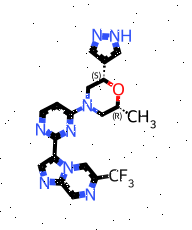 C[C@@H]1CN(c2ccnc(-c3cnc4cnc(C(F)(F)F)cn34)n2)C[C@H](c2cn[nH]c2)O1